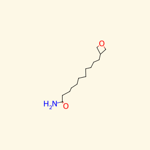 NC(=O)CCCCCCCCCCC1COC1